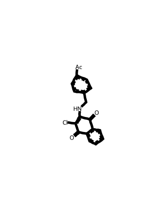 CC(=O)c1ccc(CNC2=C(Cl)C(=O)c3ccccc3C2=O)cc1